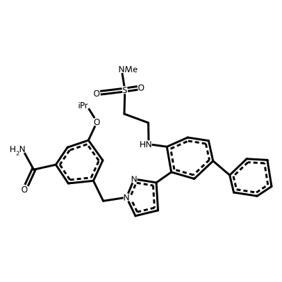 CNS(=O)(=O)CCNc1ccc(-c2ccccc2)cc1-c1ccn(Cc2cc(OC(C)C)cc(C(N)=O)c2)n1